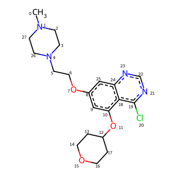 CN1CCN(CCOc2cc(OC3CCOCC3)c3c(Cl)ncnc3c2)CC1